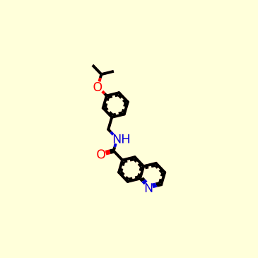 CC(C)Oc1cccc(CNC(=O)c2ccc3ncccc3c2)c1